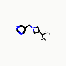 CC(C)C1CN(Cc2cncnc2)C1